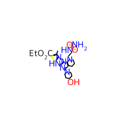 CCOC(=O)c1sc(Nc2nc3c(c(N4CCC(O)CC4)n2)CCCN3CCNS(N)(=O)=O)nc1C